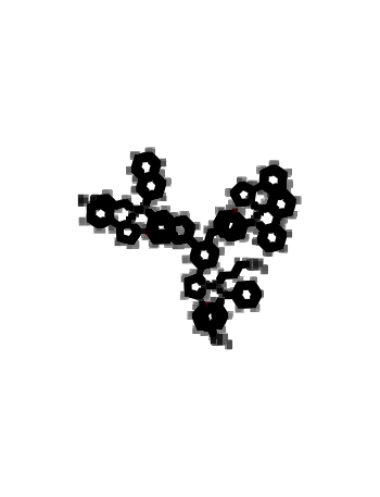 CCCCN(P(c1ccccc1)c1ccccc1)P1[C@H](c2ccc(C)cc2)CC[C@H]1c1ccc(Cc2ccc(P3c4ccccc4-c4ccccc4N3P3[C@H](c4ccccc4)CC[C@H]3c3ccccc3)cc2)c(-c2ccc3cc(P(c4ccc5ccccc5c4)N(CCCC)P4[C@H](c5ccccc5)CC[C@H]4c4ccccc4)ccc3c2)c1